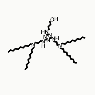 CCCCCCCCCCN(CCCCCCCCCC)CCCNc1nc(NCCCCO)nc(NCCCN(CCCCCCCCCC)CCCCCCCCCC)n1